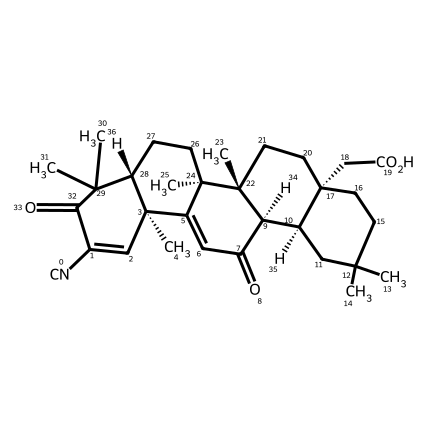 [C-]#[N+]C1=C[C@]2(C)C3=CC(=O)[C@@H]4[C@@H]5CC(C)(C)CC[C@]5(CC(=O)O)CC[C@@]4(C)[C@]3(C)CC[C@H]2C(C)(C)C1=O